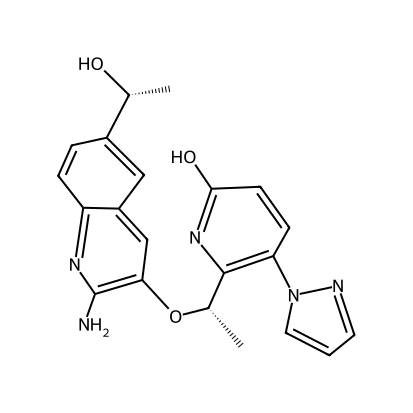 C[C@H](Oc1cc2cc([C@@H](C)O)ccc2nc1N)c1nc(O)ccc1-n1cccn1